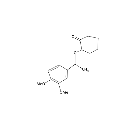 COc1ccc(C(C)OC2CCCCC2=O)cc1OC